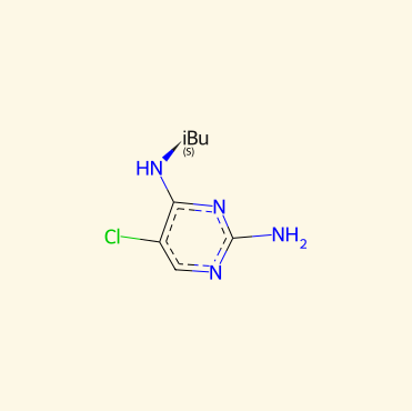 CC[C@H](C)Nc1nc(N)ncc1Cl